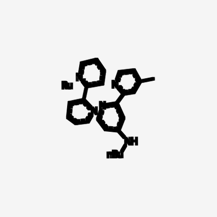 CCCCNc1ccnc(-c2cc(C)ccn2)c1.[Ru].c1ccc(-c2ccccn2)nc1